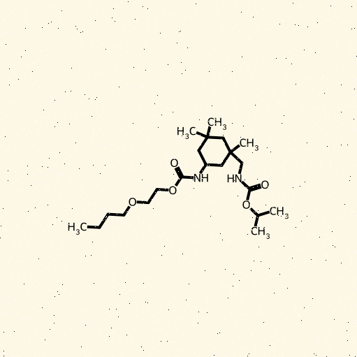 CCCCOCCOC(=O)NC1CC(C)(C)CC(C)(CNC(=O)OC(C)C)C1